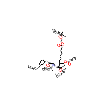 CCCC(=O)OC1=C(CCCCCCC(=O)OCCO[Si](C)(C)C(C)(C)C)[C@@H](/C=C/[C@@H](Cc2cccc(COC)c2)O[Si](C)(C)C(C)(C)C)[C@H](O[Si](C)(C)C(C)(C)C)C1